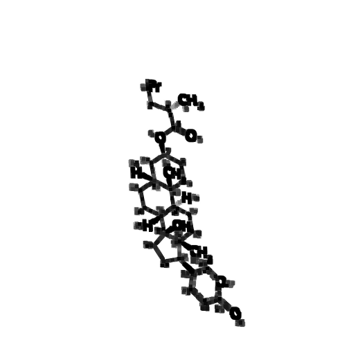 CC(C)C[C@H](C)C(=O)O[C@H]1CC[C@@]2(C)[C@H](CC[C@@H]3[C@@H]2CC[C@]2(C)[C@@H](c4ccc(=O)oc4)CC[C@]32O)C1